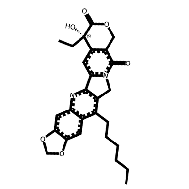 CCCCCCc1c2c(nc3cc4c(cc13)OCO4)-c1cc3c(c(=O)n1C2)COC(=O)[C@]3(O)CC